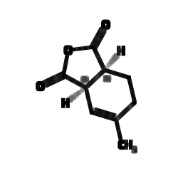 CC1=C[C@H]2C(=O)OC(=O)[C@H]2CC1